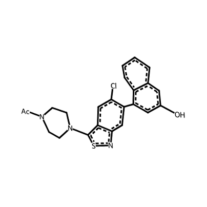 CC(=O)N1CCN(c2snc3cc(-c4cc(O)cc5ccccc45)c(Cl)cc23)CC1